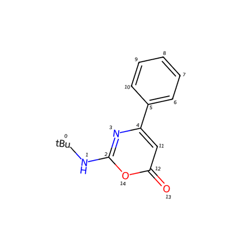 CC(C)(C)Nc1nc(-c2ccccc2)cc(=O)o1